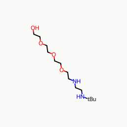 CC(C)(C)NCCNCCOCCOCCOCCO